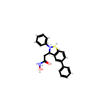 O=C(CC1c2cc(-c3ccccc3)ccc2SN1c1ccccc1)NO